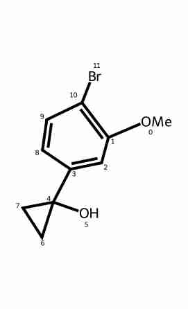 COc1cc(C2(O)CC2)ccc1Br